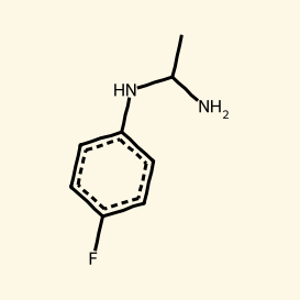 CC(N)Nc1ccc(F)cc1